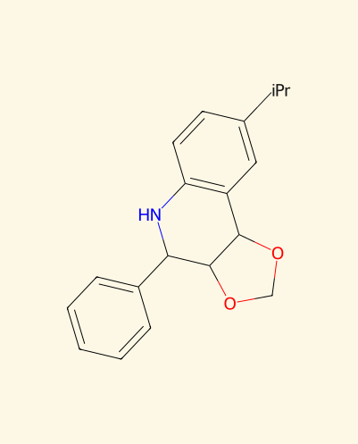 CC(C)c1ccc2c(c1)C1OCOC1C(c1ccccc1)N2